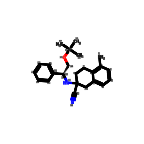 Bc1cccc2c1CCC(C#N)(N[C@@H](CO[Si](C)(C)C)c1ccccc1)C2